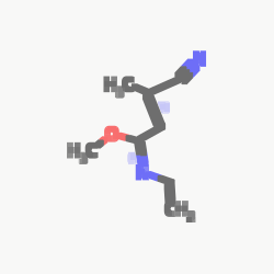 C=C/N=C(\C=C(/C)C#N)OC